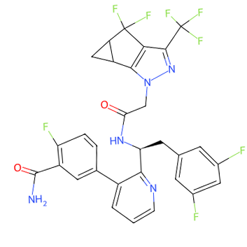 NC(=O)c1cc(-c2cccnc2[C@H](Cc2cc(F)cc(F)c2)NC(=O)Cn2nc(C(F)(F)F)c3c2C2CC2C3(F)F)ccc1F